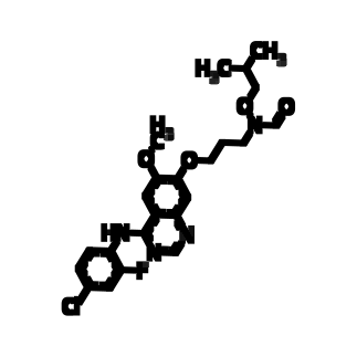 COc1cc2c(Nc3ccc(Cl)cc3F)ncnc2cc1OCCCN(C=O)OCC(C)C